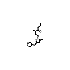 CCCC(=O)C(C)CCn1nc(CC2CCOC2)cc1C